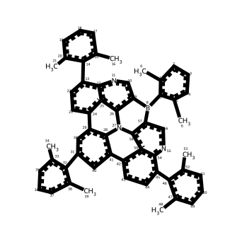 Cc1cccc(C)c1B1c2cnc3c(-c4c(C)cccc4C)ccc4c3c2N2c3c-4cc(-c4c(C)cccc4C)cc3-c3ccc(-c4c(C)cccc4C)c4ncc1c2c34